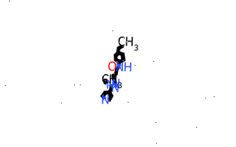 CCCc1ccc(NC(=O)CCc2nnc(-c3ccncc3)n2CC)cc1